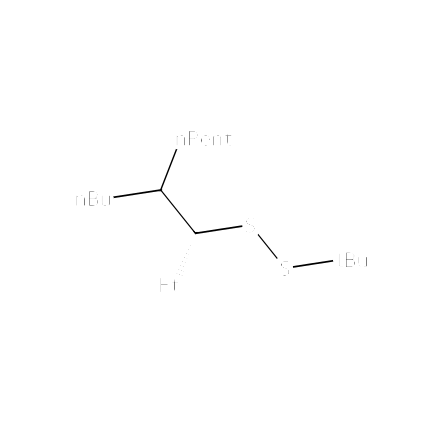 CCCCCC(CCCC)[C@@H](CC)SSC(C)(C)C